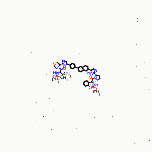 COC(=O)N[C@H](C(=O)N1CCOC[C@H]1c1ncc(-c2ccc(-c3ccc4cc(-c5cnc([C@@H]6CCCN6C(=O)[C@H](NC(=O)OC)c6ccccc6)[nH]5)ccc4c3)cc2)[nH]1)C(C)C